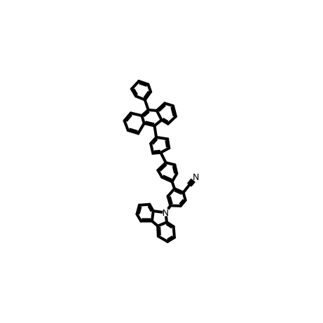 N#Cc1ccc(-n2c3ccccc3c3ccccc32)cc1-c1ccc(-c2ccc(-c3c4ccccc4c(-c4ccccc4)c4ccccc34)cc2)cc1